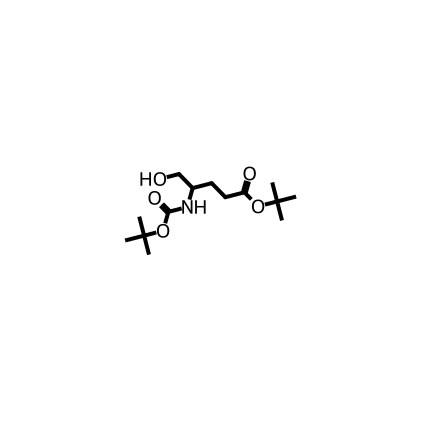 CC(C)(C)OC(=O)CCC(CO)NC(=O)OC(C)(C)C